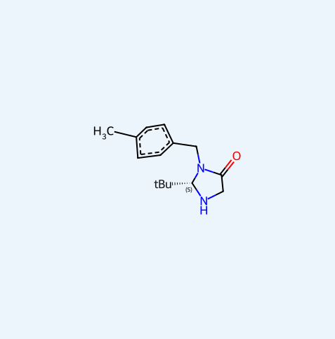 Cc1ccc(CN2C(=O)CN[C@@H]2C(C)(C)C)cc1